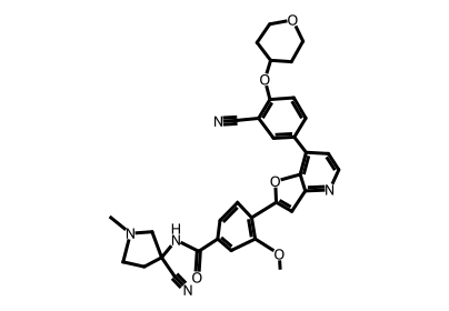 COc1cc(C(=O)NC2(C#N)CCN(C)C2)ccc1-c1cc2nccc(-c3ccc(OC4CCOCC4)c(C#N)c3)c2o1